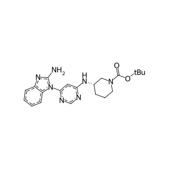 CC(C)(C)OC(=O)N1CCC[C@H](Nc2cc(-n3c(N)nc4ccccc43)ncn2)C1